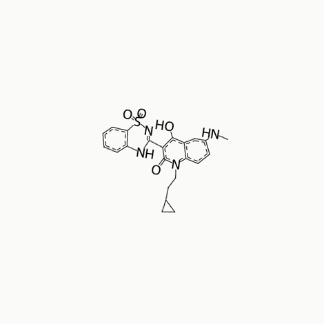 CNc1ccc2c(c1)c(O)c(C1=NS(=O)(=O)c3ccccc3N1)c(=O)n2CCC1CC1